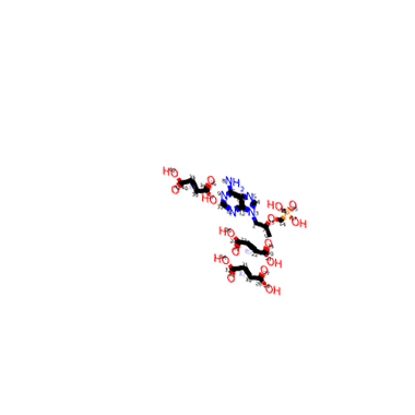 CC(Cn1cnc2c(N)ncnc21)OCP(=O)(O)O.O=C(O)/C=C/C(=O)O.O=C(O)/C=C/C(=O)O.O=C(O)/C=C/C(=O)O